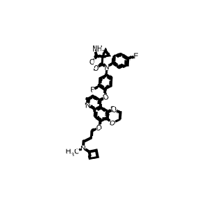 CN(CCCOc1cc2nccc(Oc3ccc(N(C(=O)C4(C(N)=O)CC4)c4ccc(F)cc4)cc3F)c2c2c1OCCO2)C1CCC1